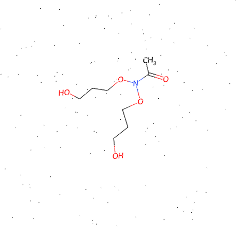 CC(=O)N(OCCCO)OCCCO